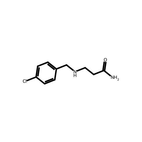 NC(=O)CCNCc1ccc(Cl)cc1